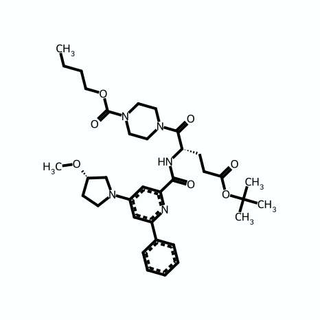 CCCCOC(=O)N1CCN(C(=O)[C@H](CCC(=O)OC(C)(C)C)NC(=O)c2cc(N3CC[C@H](OC)C3)cc(-c3ccccc3)n2)CC1